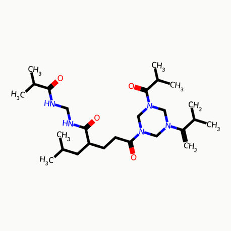 C=C(C(C)C)N1CN(C(=O)CCC(CC(C)C)C(=O)NCNC(=O)C(C)C)CN(C(=O)C(C)C)C1